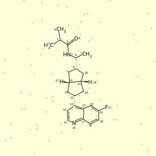 CC(C)C(=O)NC(C)[C@H]1C[C@H]2C[C@@H](c3ccnc4ccc(F)cc34)C[C@H]2C1